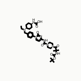 CCN(Cc1ccc(-n2ccc(NC(=O)N3CCN(C(=O)C(C)(C)NC(=O)OC(C)(C)C)CC3)nc2=O)cc1)[C@H]1CC[C@H](NC(=O)O)CC1